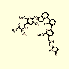 COc1nc(-c2cccc(-c3cccc4c3CC[C@@H]4Oc3nc(OC)c(CN[C@@H](C)C(N)=O)cc3C(F)(F)F)c2Cl)ccc1CNC[C@@H]1CCC(=O)N1